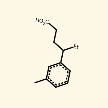 CCC(CCC(=O)O)c1cccc(C)c1